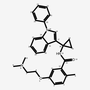 Cc1ccc(OCCN(C)C)cc1C(=O)NC1(c2cn(-c3ccccc3)c3ccccc23)CC1